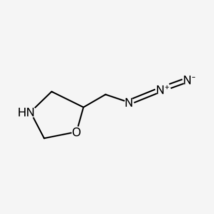 [N-]=[N+]=NCC1CNCO1